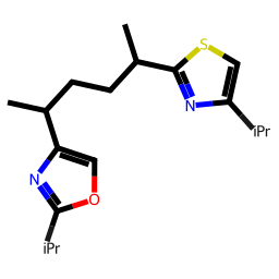 CC(C)c1csc(C(C)CCC(C)c2coc(C(C)C)n2)n1